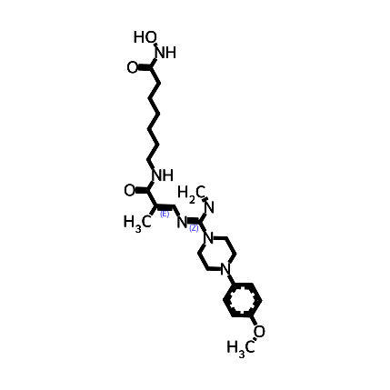 C=N/C(=N\C=C(/C)C(=O)NCCCCCCC(=O)NO)N1CCN(c2ccc(OC)cc2)CC1